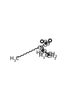 CCCCCCCCCCCCCCCCOCC(COP(O)OCC[N+](C)(C)C)COP(Oc1ccccc1)Oc1ccccc1